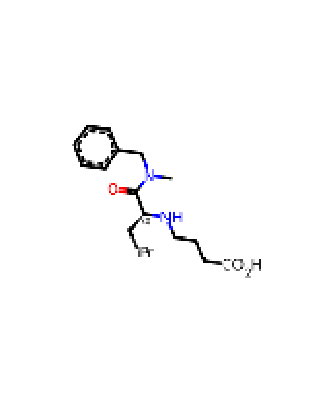 CC(C)C[C@H](NCCCC(=O)O)C(=O)N(C)Cc1ccccc1